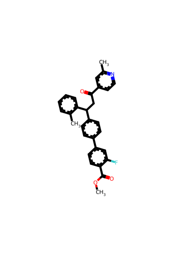 COC(=O)c1ccc(-c2ccc(C(CC(=O)c3ccnc(C)c3)c3ccccc3C)cc2)cc1F